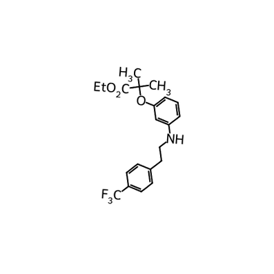 CCOC(=O)C(C)(C)Oc1cccc(NCCc2ccc(C(F)(F)F)cc2)c1